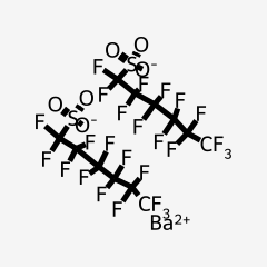 O=S(=O)([O-])C(F)(F)C(F)(F)C(F)(F)C(F)(F)C(F)(F)C(F)(F)F.O=S(=O)([O-])C(F)(F)C(F)(F)C(F)(F)C(F)(F)C(F)(F)C(F)(F)F.[Ba+2]